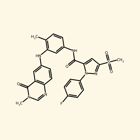 Cc1ccc(NC(=O)c2cc(S(C)(=O)=O)nn2-c2ccc(F)cc2)cc1Nc1ccc2ncn(C)c(=O)c2c1